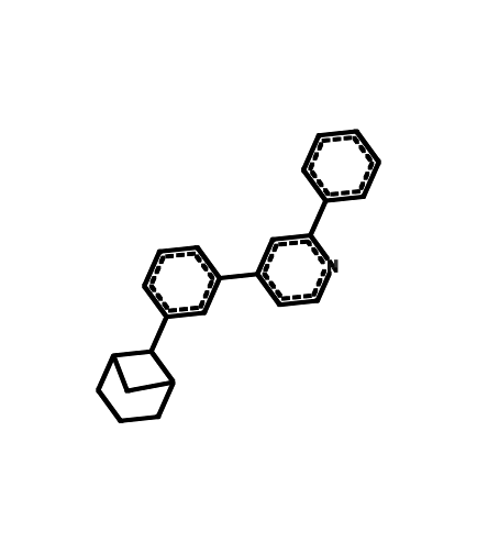 c1ccc(-c2cc(-c3cccc(C4C5CCCC4C5)c3)ccn2)cc1